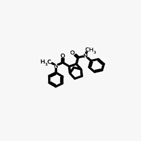 CN(C(=O)C1C2CCC(C2)C1C(=O)N(C)c1ccccc1)c1ccccc1